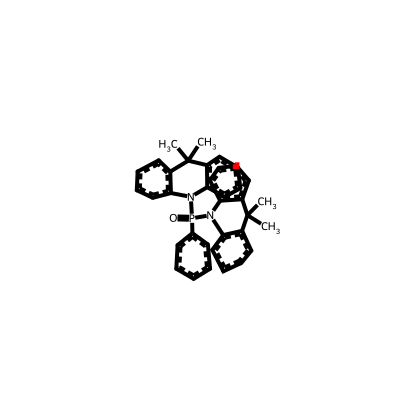 CC1(C)c2ccccc2N(P(=O)(c2ccccc2)N2c3ccccc3C(C)(C)c3ccccc32)c2ccccc21